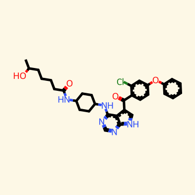 CC(O)CCCCC(=O)NC1CCC(Nc2ncnc3[nH]cc(C(=O)c4ccc(Oc5ccccc5)cc4Cl)c23)CC1